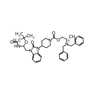 C[C@@H](COC(=O)N1CCC(n2c(=O)n(CC(NC=O)OC(C)(C)C)c3ccccc32)CC1)N(Cc1ccccc1)Cc1ccccc1